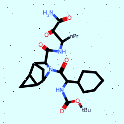 CCCC(NC(=O)C1C2CC(C3CC32)N1C(=O)C(NC(=O)OC(C)(C)C)C1CCCCC1)C(=O)C(N)=O